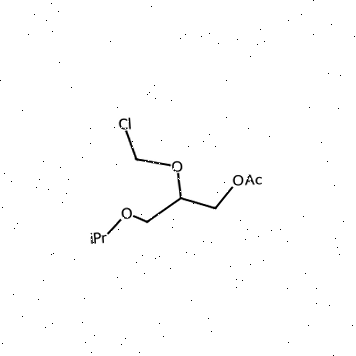 CC(=O)OCC(COC(C)C)OCCl